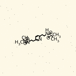 CC(C)S(=O)(=O)NCCc1ccc(CCNS(=O)(=O)C(C)C)nc1